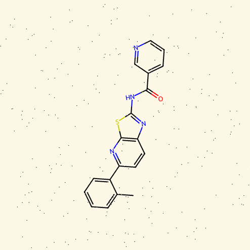 Cc1ccccc1-c1ccc2nc(NC(=O)c3cccnc3)sc2n1